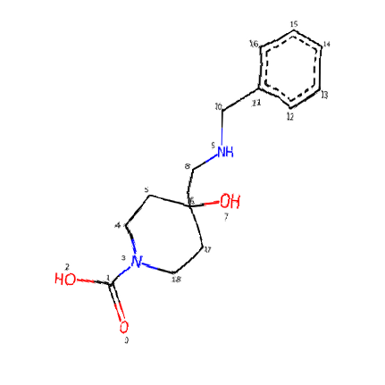 O=C(O)N1CCC(O)(CNCc2ccccc2)CC1